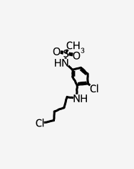 CS(=O)(=O)Nc1ccc(Cl)c(NCCCCCl)c1